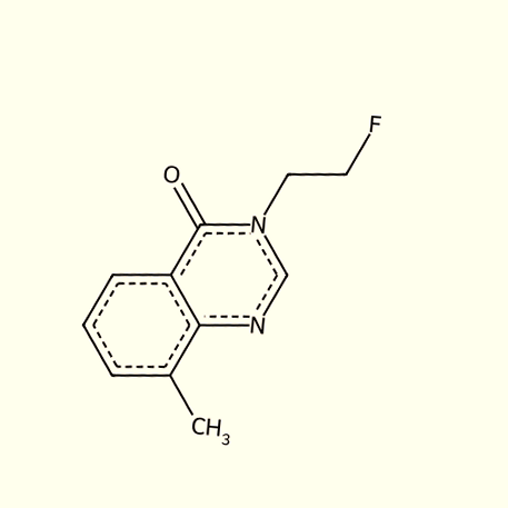 Cc1cccc2c(=O)n(CCF)cnc12